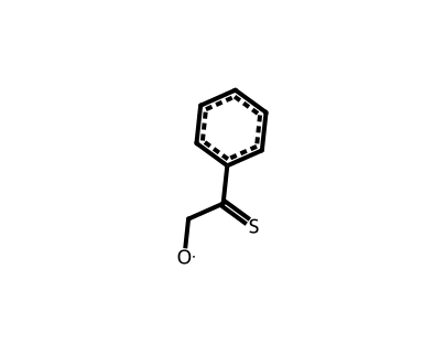 [O]CC(=S)c1ccccc1